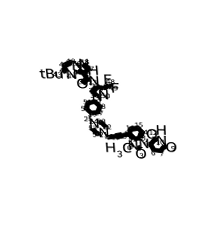 Cn1c(=O)n(C2CCC(=O)NC2=O)c2cccc(C#CCN3CCN(C[C@H]4CC[C@H](n5cc(NC(=O)c6cnn7ccc(C(C)(C)C)nc67)c(C(F)F)n5)CC4)CC3)c21